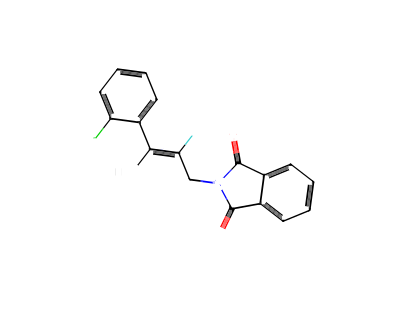 C/C(=C(/F)CN1C(=O)c2ccccc2C1=O)c1ccccc1Cl